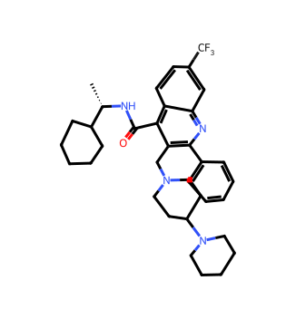 C[C@H](NC(=O)c1c(CN2CCC(N3CCCCC3)CC2)c(-c2ccccc2)nc2cc(C(F)(F)F)ccc12)C1CCCCC1